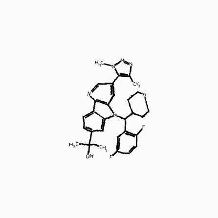 Cc1nnn(C)c1-c1cnc2c3ccc(C(C)(C)O)cc3n(C(c3cc(F)ccc3F)C3CCOCC3)c2c1